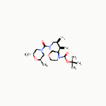 C=C(CNC(=O)N1C[C@@H](C)O[C@H](C)C1)C(=C)[C@@H]1COCCN1C(=O)OC(C)(C)C